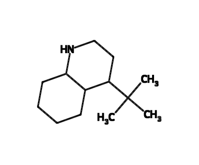 CC(C)(C)C1CCNC2CCCCC21